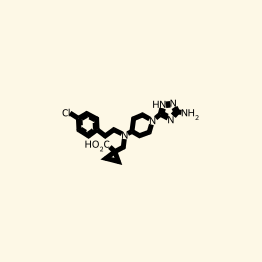 Nc1n[nH]c(N2CCC(N(CCc3ccc(Cl)cc3)CC3(C(=O)O)CC3)CC2)n1